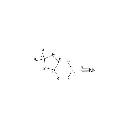 CC1(C)CC2CCC(C#N)CC2C1